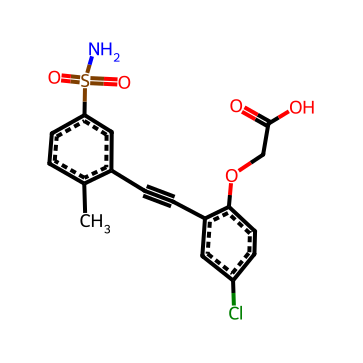 Cc1ccc(S(N)(=O)=O)cc1C#Cc1cc(Cl)ccc1OCC(=O)O